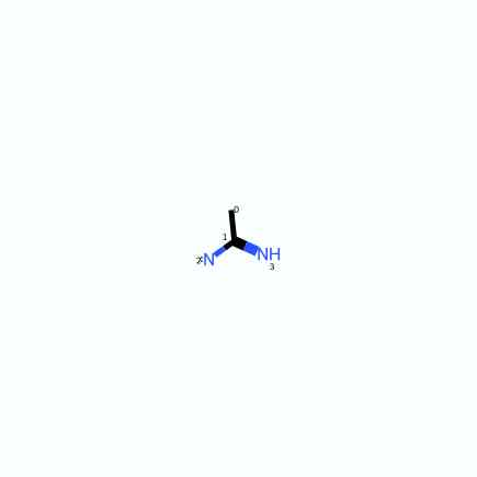 CC([N])=N